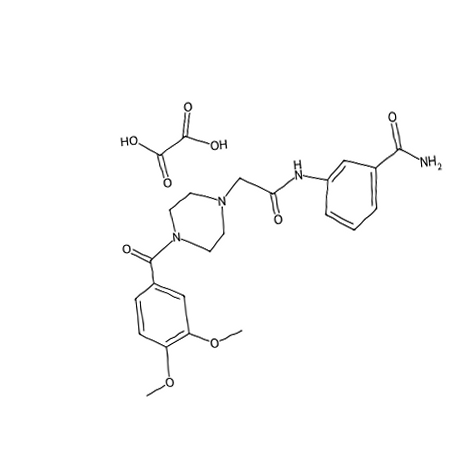 COc1ccc(C(=O)N2CCN(CC(=O)Nc3cccc(C(N)=O)c3)CC2)cc1OC.O=C(O)C(=O)O